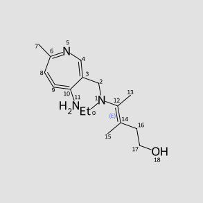 CCN(CC1=CN=C(C)C=C=C1N)/C(C)=C(\C)CCO